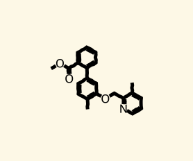 COC(=O)c1ccccc1-c1ccc(C)c(OCc2ncccc2C)c1